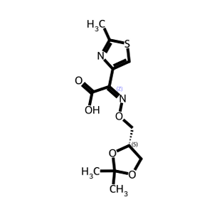 Cc1nc(/C(=N/OC[C@@H]2COC(C)(C)O2)C(=O)O)cs1